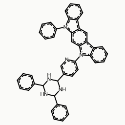 c1ccc(C2NC(c3ccccc3)NC(c3ccc(-n4c5ccccc5c5cc6c7ccccc7n(-c7ccccc7)c6cc54)nc3)N2)cc1